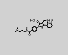 CN(C)CCCNC(=O)c1ccc(-n2nc3c4cccc(F)c4[nH]cc-3c2=O)cc1.Cl